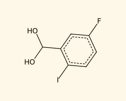 OC(O)c1cc(F)ccc1I